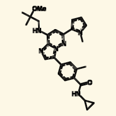 COC(C)(C)CNc1cc(-c2cccn2C)nn2c(-c3ccc(C(=O)NC4CC4)c(C)c3)cnc12